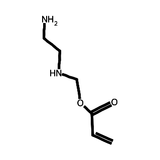 C=CC(=O)OCNCCN